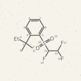 CCC(C)(C)c1ccccc1S(=O)(=O)C(F)C(F)F